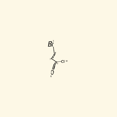 O=C(Cl)C=CBr